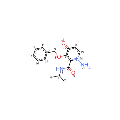 CC(C)NC(=O)c1c(OCc2ccccc2)c(=O)ccn1N